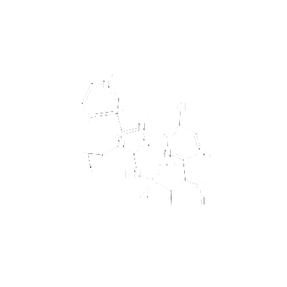 CC(C)OC(c1ncc(Cl)cn1)C(C)S(=O)(=O)Nc1nnc(-c2cccnc2)n1C1CC1